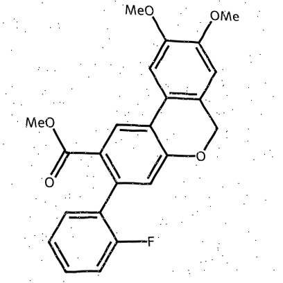 COC(=O)c1cc2c(cc1-c1ccccc1F)OCc1cc(OC)c(OC)cc1-2